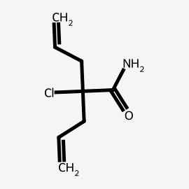 C=CCC(Cl)(CC=C)C(N)=O